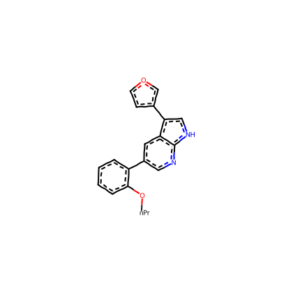 CCCOc1ccccc1-c1cnc2[nH]cc(-c3ccoc3)c2c1